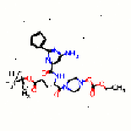 CCOC(=O)ON1CCN(C(=O)[C@H](CCC(=O)OC(C)(C)C)NC(=O)c2cc(N)nc(-c3ccccc3)n2)CC1